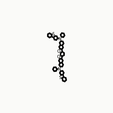 c1ccc(N(c2ccc3cc4c(cc3c2)oc2c4ccc3c4cc5ccc(N(c6ccccc6)c6ccc7c(c6)sc6ccccc67)cc5cc4oc32)c2ccc3c(c2)sc2ccccc23)cc1